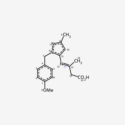 COc1ccc(Cn2nc(C)cc2/N=C(\C)CC(=O)O)cc1